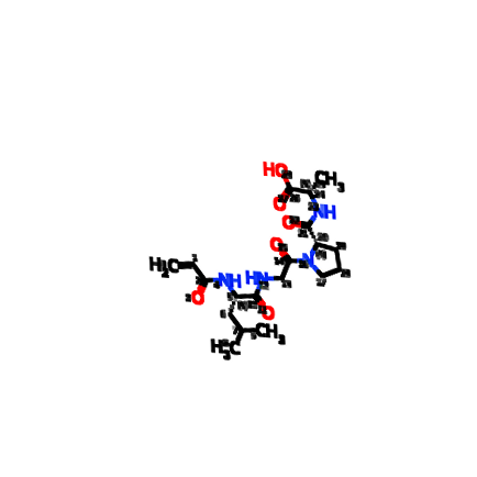 C=CC(=O)N[C@@H](CC(C)C)C(=O)NCC(=O)N1CCC[C@H]1C(=O)N[C@@H](C)C(=O)O